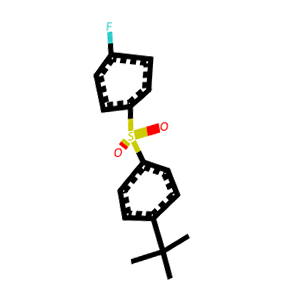 CC(C)(C)c1ccc(S(=O)(=O)c2ccc(F)cc2)cc1